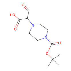 CC(C)(C)OC(=O)N1CCN(C(C=O)C(=O)O)CC1